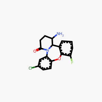 NC1CCC(=O)N2c3cc(Cl)ccc3Oc3c(F)cccc3C12